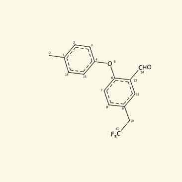 Cc1ccc(Oc2ccc(CC(F)(F)F)cc2C=O)cc1